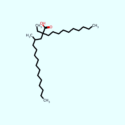 CCCCCCCCCCCCC(C)CC(CC)(CCCCCCCCCC)C(=O)O